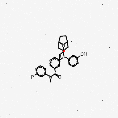 C=CCN1C2CCC1CC(N(c1cccc(O)c1)c1cccc(C(=O)N(C)c3cccc(F)c3)c1)C2